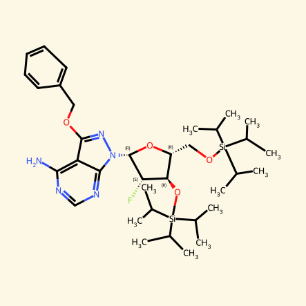 CC(C)[Si](OC[C@H]1O[C@@H](n2nc(OCc3ccccc3)c3c(N)ncnc32)[C@@H](F)[C@@H]1O[Si](C(C)C)(C(C)C)C(C)C)(C(C)C)C(C)C